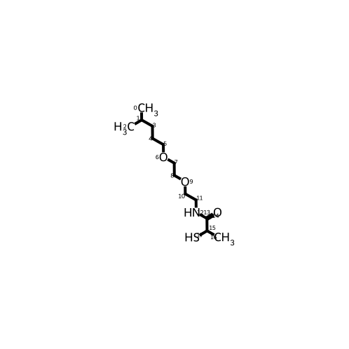 CC(C)CCCOCCOCCNC(=O)C(C)S